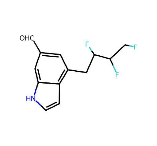 O=Cc1cc(CC(F)C(F)CF)c2cc[nH]c2c1